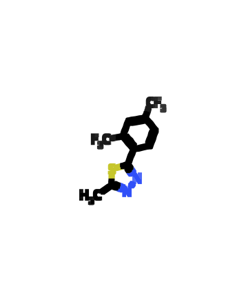 Cc1nnc(-c2ccc(C(F)(F)F)cc2C(F)(F)F)s1